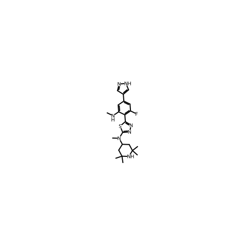 CNc1cc(-c2cn[nH]c2)cc(F)c1-c1nnc(N(C)C2CC(C)(C)NC(C)(C)C2)s1